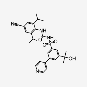 CC(C)c1cc(C#N)cc(C(C)C)c1NC(=O)NS(=O)(=O)c1cc(-c2ccncc2)cc(C(C)(C)O)c1